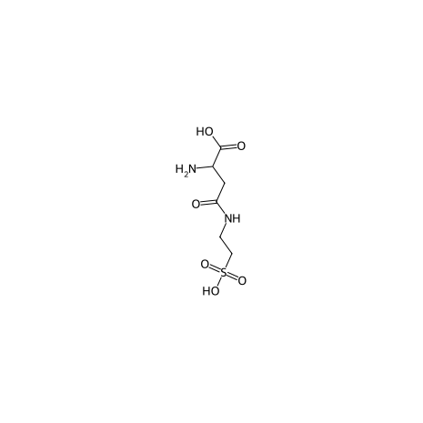 NC(CC(=O)NCCS(=O)(=O)O)C(=O)O